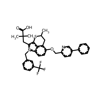 CC1Cc2c(OCc3ccc(-c4ccccc4)cn3)ccc3c2c(c(CC(C)(C)C(=O)O)n3Cc2cccc(C(F)(F)F)c2)S1